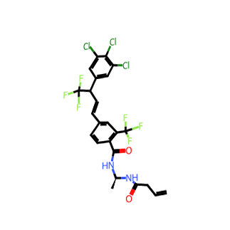 C=CCC(=O)N[C@@H](C)NC(=O)c1ccc(/C=C/C(c2cc(Cl)c(Cl)c(Cl)c2)C(F)(F)F)cc1C(F)(F)F